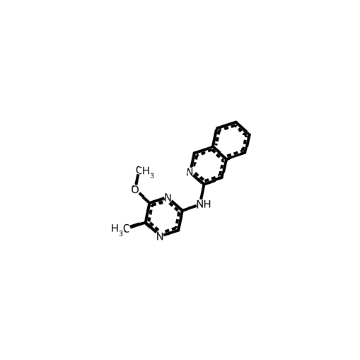 COc1nc(Nc2cc3ccccc3cn2)cnc1C